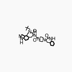 CC(C)(C)CN1Cc2c(ccc3[nH]ncc23)CC(NC(=O)N2CCN(C3Cc4ccccc4NC3=O)CC2)C1=O